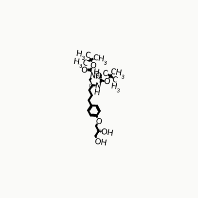 CC(C)(C)OC(=O)NC[C@H](CCCc1ccc(OC[C@@H](O)CO)cc1)NC(=O)OC(C)(C)C